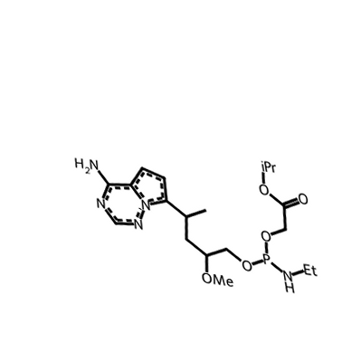 CCNP(OCC(=O)OC(C)C)OCC(CC(C)c1ccc2c(N)ncnn12)OC